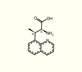 C[C@H](c1cccc2cccnc12)[C@H](N)C(=O)O